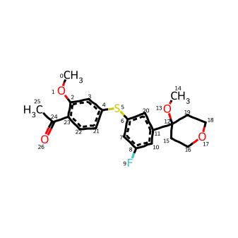 COc1cc(Sc2cc(F)cc(C3(OC)CCOCC3)c2)ccc1C(C)=O